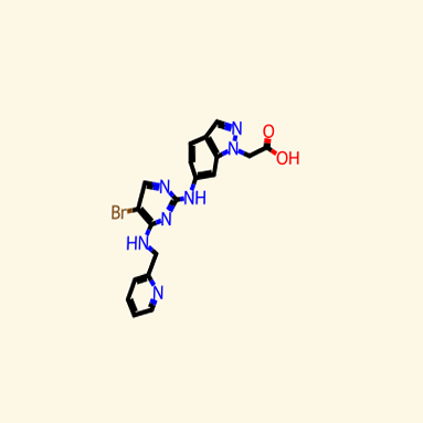 O=C(O)Cn1ncc2ccc(Nc3ncc(Br)c(NCc4ccccn4)n3)cc21